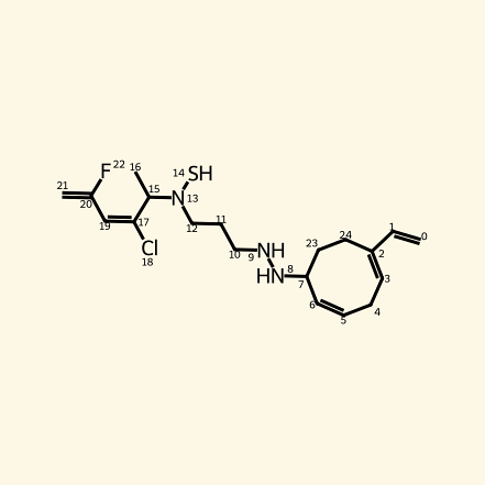 C=C/C1=C/CC=CC(NNCCCN(S)C(C)/C(Cl)=C\C(=C)F)CC1